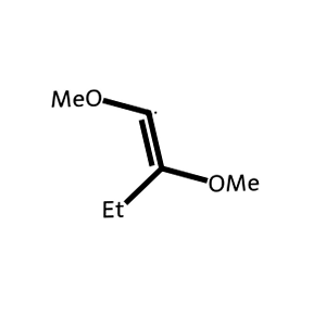 CC/C(=[C]\OC)OC